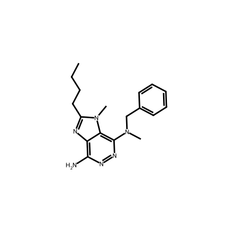 CCCCc1nc2c(N)nnc(N(C)Cc3ccccc3)c2n1C